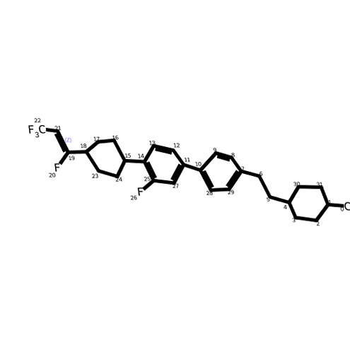 CC1CCC(CCc2ccc(-c3ccc(C4CCC(/C(F)=C/C(F)(F)F)CC4)c(F)c3)cc2)CC1